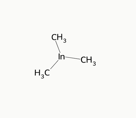 [CH3][In]([CH3])[CH3]